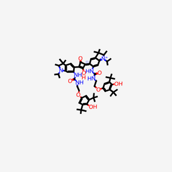 CC(C)N1c2cc(NC(=O)NCCOc3cc(C(C)(C)C)c(O)c(C(C)(C)C)c3)c(C3=C(O)/C(=c4/cc5c(cc4NC(=O)NCCOc4cc(C(C)(C)C)c(O)c(C(C)(C)C)c4)=[N+](C(C)C)C(C)C5(C)C)C3=O)cc2C(C)(C)C1C